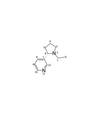 CCN1CCC[C@H]1c1cccnc1